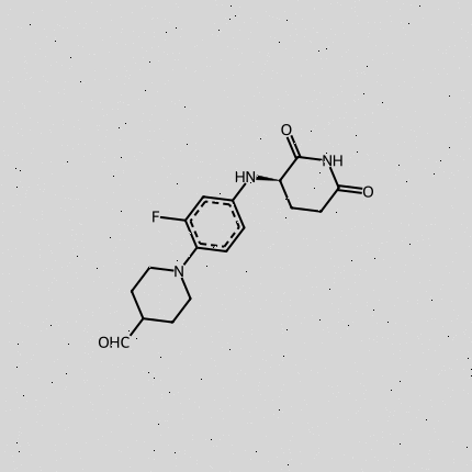 O=CC1CCN(c2ccc(N[C@@H]3CCC(=O)NC3=O)cc2F)CC1